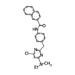 CCN(C)c1[c]c(Cl)nc(Cc2ccc(NC(=O)c3ccc4ccccc4c3)cc2)n1